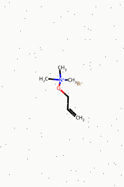 C=CCO[N+](C)(C)C.[Br-]